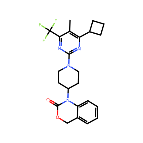 Cc1c(C2CCC2)nc(N2CCC(N3C(=O)OCc4ccccc43)CC2)nc1C(F)(F)F